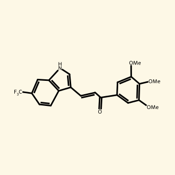 COc1cc(C(=O)C=Cc2c[nH]c3cc(C(F)(F)F)ccc23)cc(OC)c1OC